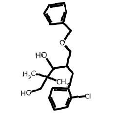 CC(C)(CO)C(O)C(COCc1ccccc1)Cc1ccccc1Cl